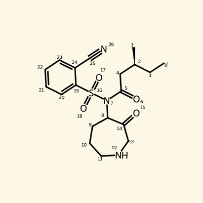 [CH2]C[C@H](C)CC(=O)N(C1CCCNCC1=O)S(=O)(=O)c1ccccc1C#N